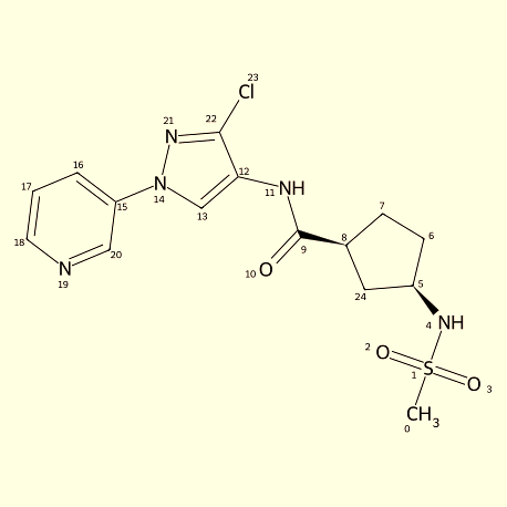 CS(=O)(=O)N[C@@H]1CC[C@H](C(=O)Nc2cn(-c3cccnc3)nc2Cl)C1